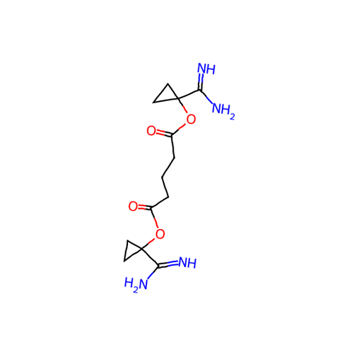 N=C(N)C1(OC(=O)CCCC(=O)OC2(C(=N)N)CC2)CC1